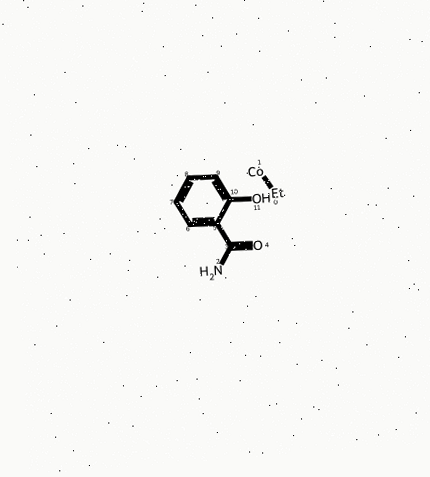 C[CH2][Co].NC(=O)c1ccccc1O